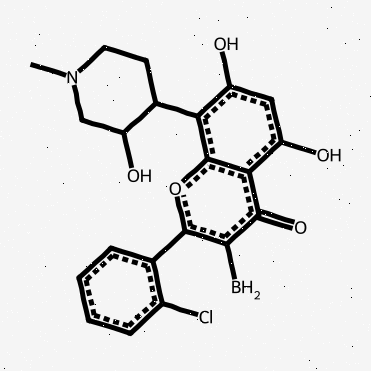 Bc1c(-c2ccccc2Cl)oc2c(C3CCN(C)CC3O)c(O)cc(O)c2c1=O